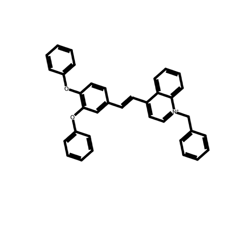 C(=Cc1cc[n+](Cc2ccccc2)c2ccccc12)c1ccc(Oc2ccccc2)c(Oc2ccccc2)c1